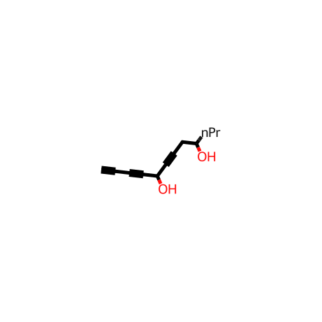 C#CC#CC(O)C#CCC(O)CCC